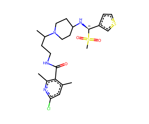 Cc1cc(Cl)nc(C)c1C(=O)NCCC(C)N1CCC(N[C@@H](c2ccsc2)S(C)(=O)=O)CC1